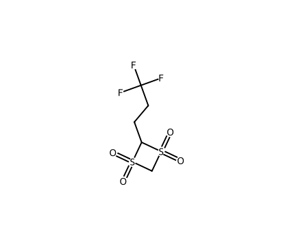 O=S1(=O)CS(=O)(=O)C1CCC(F)(F)F